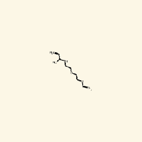 C=COCCOCCNC(O)C=C